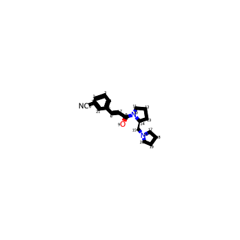 N#Cc1cccc(/C=C/C(=O)N2CCC[C@H]2CN2CCCC2)c1